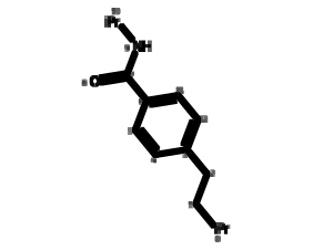 CC(C)CCc1ccc(C(=O)NC(C)C)cc1